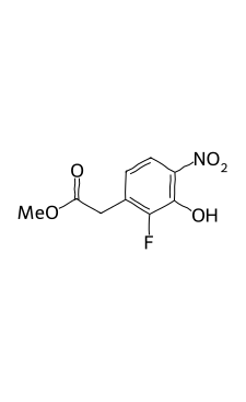 COC(=O)Cc1ccc([N+](=O)[O-])c(O)c1F